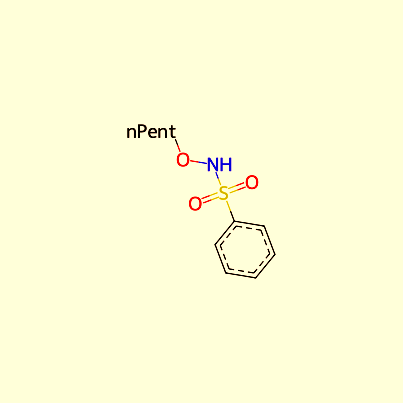 CCCCCONS(=O)(=O)c1ccccc1